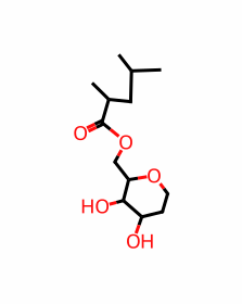 CC(C)CC(C)C(=O)OCC1OCCC(O)C1O